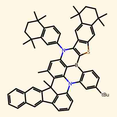 Cc1cc2c3c4c1C1(C)c5cc6ccccc6cc5-c5cccc(c51)N4c1cc(C(C)(C)C)ccc1B3c1sc3cc4c(cc3c1N2c1ccc2c(c1)C(C)(C)CCC2(C)C)C(C)(C)CCC4(C)C